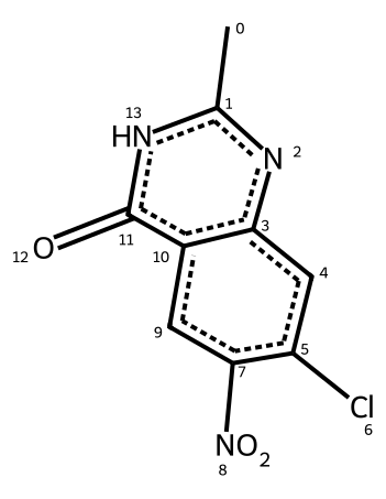 Cc1nc2cc(Cl)c([N+](=O)[O-])cc2c(=O)[nH]1